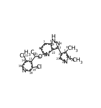 Cc1c(-c2n[nH]c3ccc(O[C@H](C)c4c(Cl)cncc4Cl)nc23)cnn1C